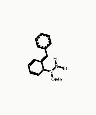 CCN(CC)N(OC)C1C=CC=CC1=Cc1ccccc1